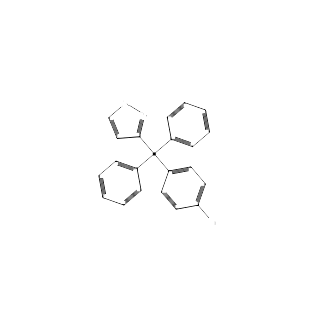 Brc1ccc(C(c2ccccc2)(c2ccccc2)c2cc[nH]n2)cc1